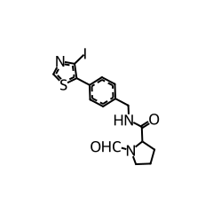 O=CN1CCCC1C(=O)NCc1ccc(-c2scnc2I)cc1